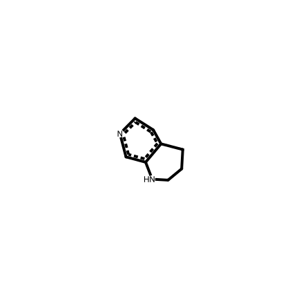 c1cc2c(cn1)NCCC2